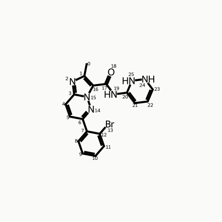 Cc1nc2ccc(-c3ccccc3Br)nn2c1C(=O)NC1=CC=CNN1